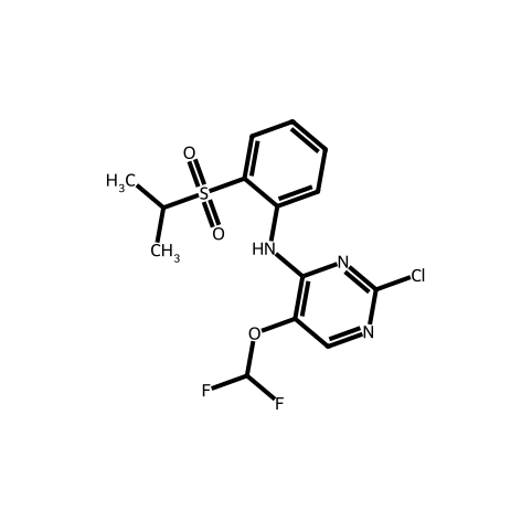 CC(C)S(=O)(=O)c1ccccc1Nc1nc(Cl)ncc1OC(F)F